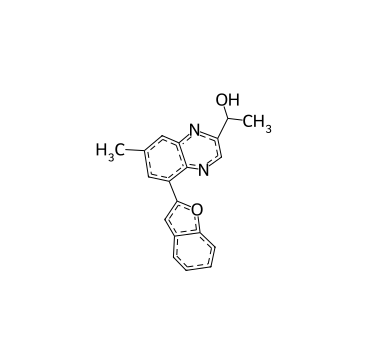 Cc1cc(-c2cc3ccccc3o2)c2ncc(C(C)O)nc2c1